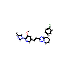 COc1cc(/C=C/c2nc3n(n2)CCC[C@H]3c2ccc(Cl)cc2)cnc1-n1cnc(C)c1